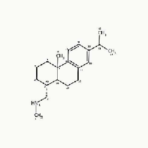 CNC[C@@H]1CCCC2(C)c3ccc(C(C)C)cc3CCC12